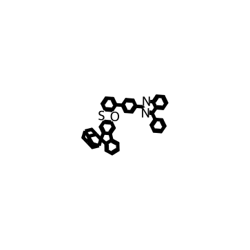 c1ccc(-c2nc(-c3ccc(-c4cccc5c4Oc4cc6c(cc4S5)C4(c5ccccc5-6)C5CC6CC(C5)CC4C6)cc3)nc3ccccc23)cc1